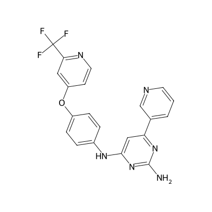 Nc1nc(Nc2ccc(Oc3ccnc(C(F)(F)F)c3)cc2)cc(-c2cccnc2)n1